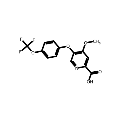 COc1cc(C(=O)O)ncc1Oc1ccc(OC(F)(F)F)cc1